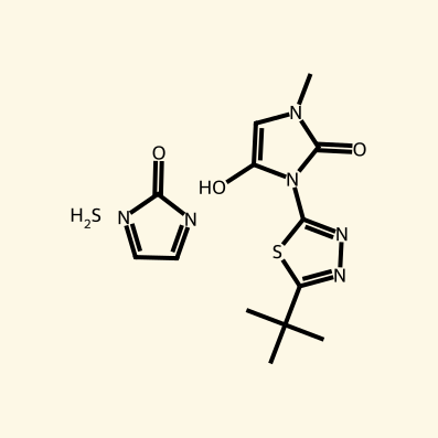 Cn1cc(O)n(-c2nnc(C(C)(C)C)s2)c1=O.O=C1N=CC=N1.S